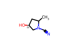 CC1C[C@H](O)CN1C#N